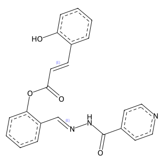 O=C(/C=C/c1ccccc1O)Oc1ccccc1/C=N/NC(=O)c1ccncc1